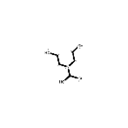 CCC(C)C(O)N(CCO)CCO